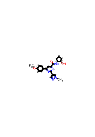 Cn1cc(-c2nc(C(=O)N[C@H]3CCC[C@H]3O)cc(-c3ccc(OC(F)(F)F)cc3)n2)cn1